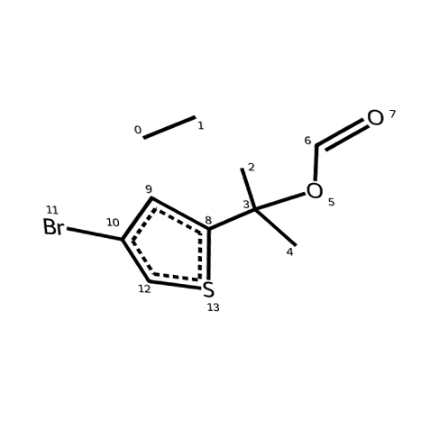 CC.CC(C)(OC=O)c1cc(Br)cs1